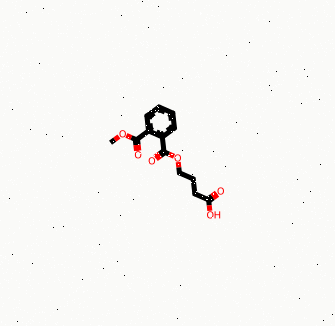 COC(=O)c1ccccc1C(=O)OCCCC(=O)O